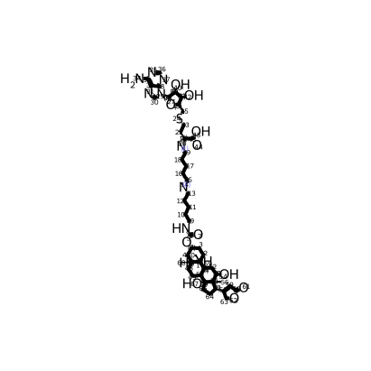 C[C@]12CC[C@@H](OC(=O)NCCCCC/N=C/CCC/C=N/[C@@H](CCSC[C@H]3O[C@@H](n4cnc5c(N)ncnc54)[C@H](O)[C@@H]3O)C(=O)O)C[C@H]1CCC1[C@@H]2C[C@@H](O)[C@]2(C)[C@@H](C3=CC(=O)OC3)CC[C@]12O